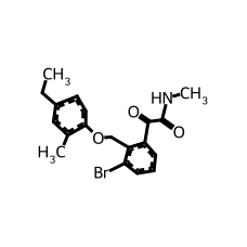 CCc1ccc(OCc2c(Br)cccc2C(=O)C(=O)NC)c(C)c1